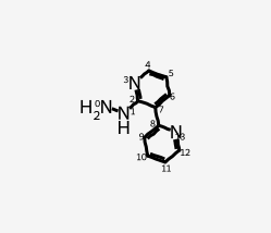 NNc1ncccc1-c1ccccn1